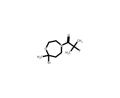 CCC1(C)CCN(C(=O)C(C)(C)F)CCO1